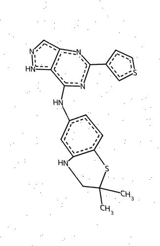 CC1(C)CNc2cc(Nc3nc(-c4ccsc4)nc4cn[nH]c34)ccc2S1